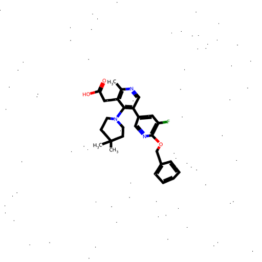 Cc1ncc(-c2cnc(OCc3ccccc3)c(F)c2)c(N2CCC(C)(C)CC2)c1CC(=O)O